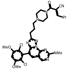 CNc1ncc2cc(-c3c(Cl)c(OC)cc(OC)c3Cl)c3nc(CCCN4CCN(C(=O)C(C#N)=CC(C)C)CC4)nn3c2n1